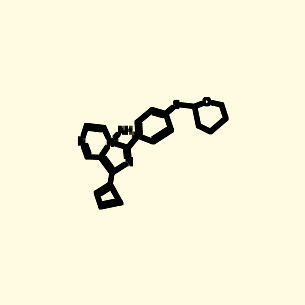 N[N+]12C=CN=CC1=C(C1=CC=C1)N=C2c1ccc(SC2CCCCO2)cc1